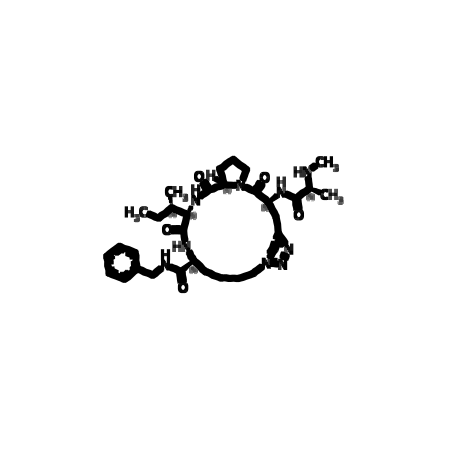 CC[C@H](C)[C@@H]1NC(=O)[C@@H]2CCCN2C(=O)[C@@H](NC(=O)[C@H](C)NC)Cc2cn(nn2)CCCC[C@@H](C(=O)NCc2ccccc2)NC1=O